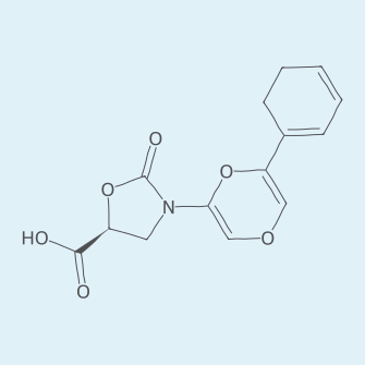 O=C(O)[C@@H]1CN(C2=COC=C(C3=CC=CCC3)O2)C(=O)O1